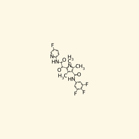 Cc1c(C(=O)Nc2cc(F)c(F)c(F)c2)c(C)n(C)c1C(=O)C(=O)Nc1ccc(F)cn1